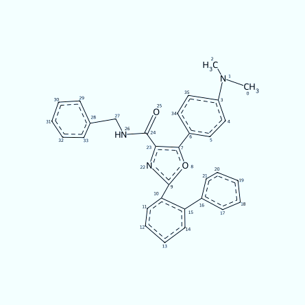 CN(C)c1ccc(-c2oc(-c3ccccc3-c3ccccc3)nc2C(=O)NCc2ccccc2)cc1